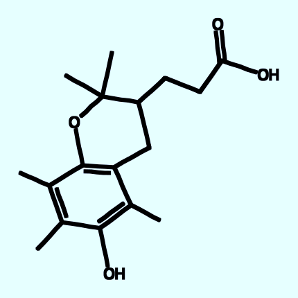 Cc1c(C)c2c(c(C)c1O)CC(CCC(=O)O)C(C)(C)O2